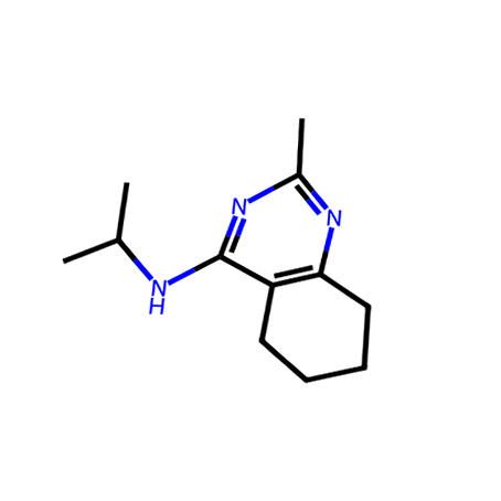 Cc1nc2c(c(NC(C)C)n1)CCCC2